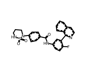 O=C(Nc1ccc(F)c(-c2nccc3ccccc23)c1)c1ccc(N2CCCNS2(=O)=O)cc1